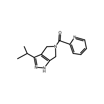 CC(C)c1n[nH]c2c1CN(C(=O)c1ccccn1)C2